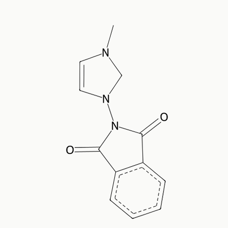 CN1C=CN(N2C(=O)c3ccccc3C2=O)C1